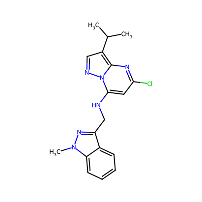 CC(C)c1cnn2c(NCc3nn(C)c4ccccc34)cc(Cl)nc12